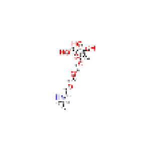 CC1C(OCCOCCOCCNC(C)(C)C)OC(CO)C(O)C1O